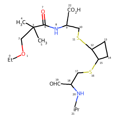 CCOCC(C)(C)C(=O)NC(CSC1CCC1SCC(C=O)NC(C)C)C(=O)O